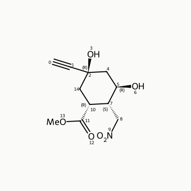 C#C[C@]1(O)C[C@@H](O)[C@H](C[N+](=O)[O-])[C@H](C(=O)OC)C1